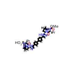 COC(=O)N[C@@H](C(=O)N1[C@H](c2ncc(-c3ccc(-c4ccc(-c5cnc([C@@H]6C[C@@H]7C[C@@H]7N6C(=O)[C@H](NC(=O)O)C(C)C)[nH]5)cc4)cc3)[nH]2)C[C@H]2C[C@@H]21)C(C)C